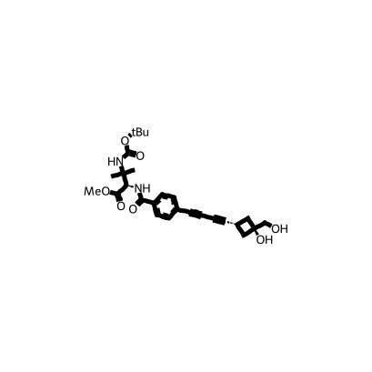 COC(=O)[C@@H](NC(=O)c1ccc(C#CC#C[C@H]2C[C@@](O)(CO)C2)cc1)C(C)(C)NC(=O)OC(C)(C)C